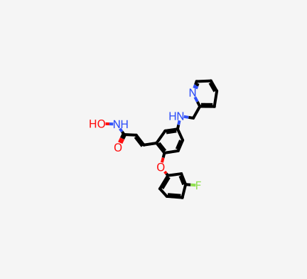 O=C(/C=C/c1cc(NCc2ccccn2)ccc1Oc1cccc(F)c1)NO